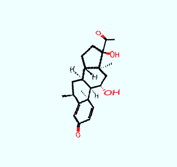 CC(=O)[C@@]1(O)CC[C@H]2[C@@H]3C[C@H](C)C4=CC(=O)C=C[C@]4(C)[C@@H]3[C@@H](O)C[C@@]21C